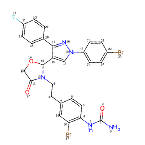 NC(=O)Nc1ccc(CCN2C(=O)COC2c2cn(-c3ccc(Br)cc3)nc2-c2ccc(F)cc2)cc1Br